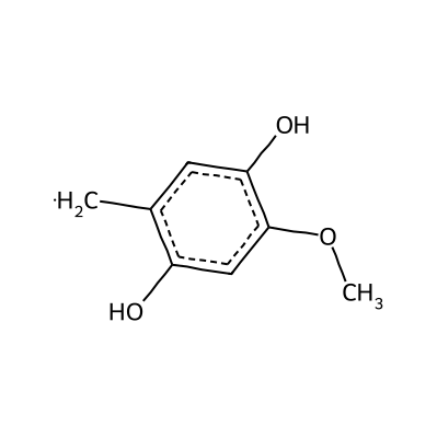 [CH2]c1cc(O)c(OC)cc1O